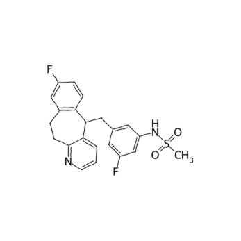 CS(=O)(=O)Nc1cc(F)cc(CC2c3ccc(F)cc3CCc3ncccc32)c1